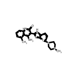 Cc1cccc2[nH]c(=O)c(-c3nc4cc(N5CCN(C)CC5)ccc4[nH]3)c(N)c12